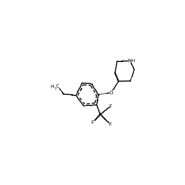 CCc1ccc(OC2CCNCC2)c(C(F)(F)F)c1